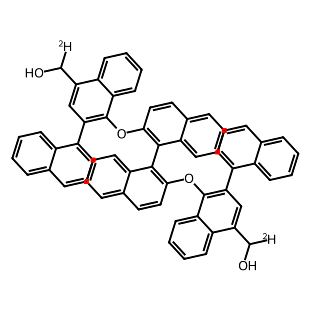 [2H]C(O)c1cc(-c2cccc3ccccc23)c(Oc2ccc3ccccc3c2-c2c(Oc3c(-c4cccc5ccccc45)cc(C([2H])O)c4ccccc34)ccc3ccccc23)c2ccccc12